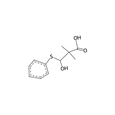 CC(C)(C(=O)O)C(O)Sc1ccccc1